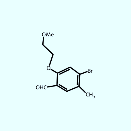 COCCOc1cc(Br)c(C)cc1C=O